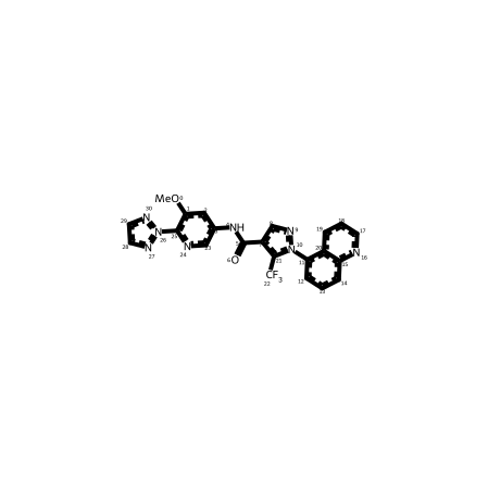 COc1cc(NC(=O)c2cnn(-c3cccc4ncccc34)c2C(F)(F)F)cnc1-n1nccn1